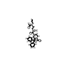 C=CCN(CCNC(=O)N1CCN2C(=O)OC(c3ccccc3)(c3ccccc3)C2C1)C(C)=O